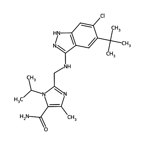 Cc1nc(CNc2n[nH]c3cc(Cl)c(C(C)(C)C)cc23)n(C(C)C)c1C(N)=O